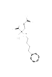 CC(CCC(=O)O)(C(=O)O)P(=O)(O)CCCCc1ccccc1